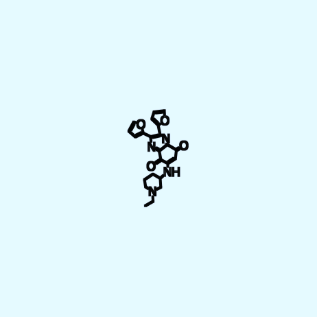 CCN1CCCC(NC2=CC(=O)c3nc(-c4ccco4)c(-c4ccco4)nc3C2=O)C1